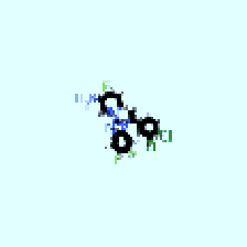 CC(c1ccc(Cl)c(Cl)c1)n1c(N2CCC(F)[C@H](N)C2)nc2cc(F)c(F)cc21